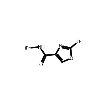 CC(C)NC(=O)c1coc([O])n1